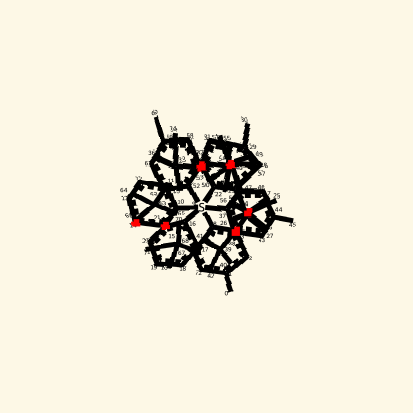 Cc1cc(C(C)(C)C)c(S(c2ccccc2)(c2ccccc2)(c2c(C(C)(C)C)cc(C)cc2C(C)(C)C)(c2c(C(C)(C)C)cc(C)cc2C(C)(C)C)c2c(C(C)(C)C)cc(C)cc2C(C)(C)C)c(C(C)(C)C)c1